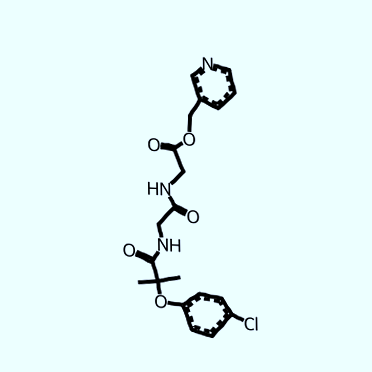 CC(C)(Oc1ccc(Cl)cc1)C(=O)NCC(=O)NCC(=O)OCc1cccnc1